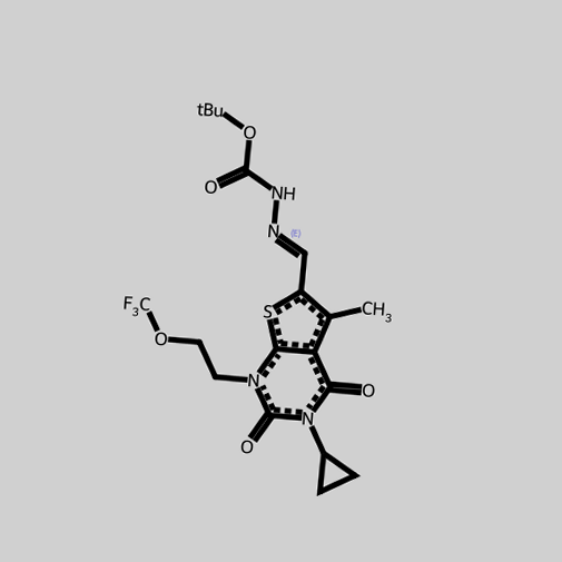 Cc1c(/C=N/NC(=O)OC(C)(C)C)sc2c1c(=O)n(C1CC1)c(=O)n2CCOC(F)(F)F